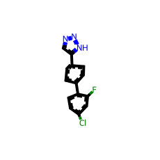 Fc1cc(Cl)ccc1-c1ccc(-c2cnn[nH]2)cc1